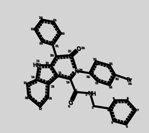 O=C(NCc1ccccc1)c1c2c([nH]c3ccccc32)c(-c2ccccc2)c(=O)n1-c1ccc(Br)cc1